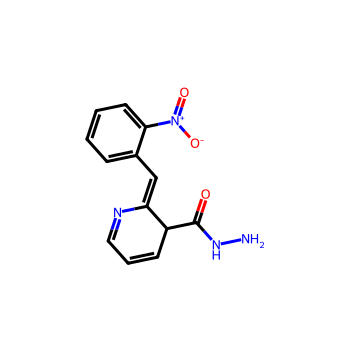 NNC(=O)C1C=CC=NC1=Cc1ccccc1[N+](=O)[O-]